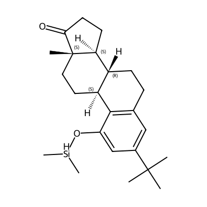 C[SiH](C)Oc1cc(C(C)(C)C)cc2c1[C@H]1CC[C@]3(C)C(=O)CC[C@H]3[C@@H]1CC2